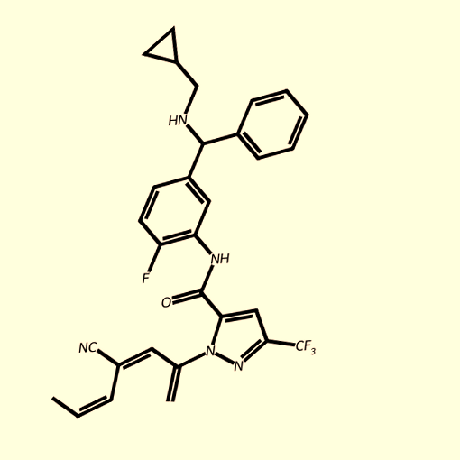 C=C(/C=C(C#N)\C=C/C)n1nc(C(F)(F)F)cc1C(=O)Nc1cc(C(NCC2CC2)c2ccccc2)ccc1F